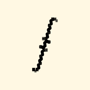 NCCOCCOCCNC(=O)CCC(=O)NCCOCCOCCN